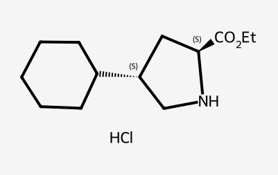 CCOC(=O)[C@@H]1C[C@@H](C2CCCCC2)CN1.Cl